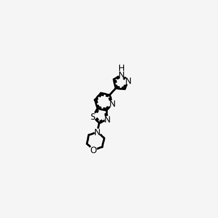 c1n[nH]cc1-c1ccc2sc(N3CCOCC3)nc2n1